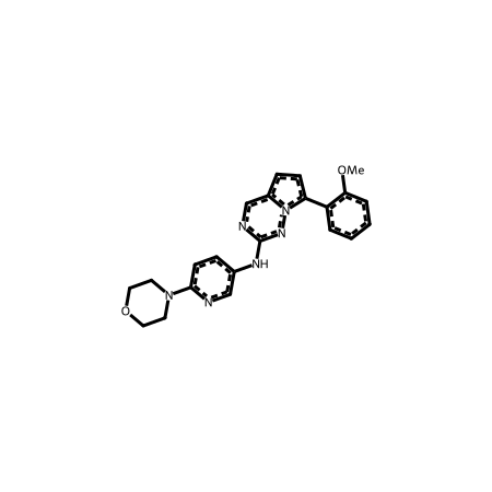 COc1ccccc1-c1ccc2cnc(Nc3ccc(N4CCOCC4)nc3)nn12